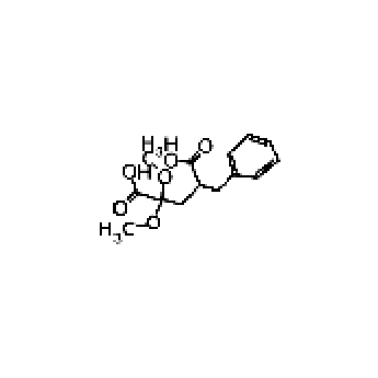 COC(CC(Cc1ccccc1)C(=O)O)(OC)C(=O)O